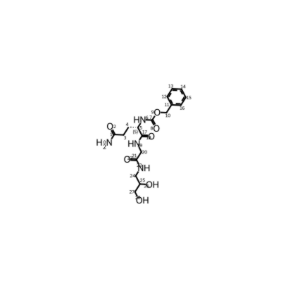 NC(=O)CC[C@H](NC(=O)OCc1ccccc1)C(=O)NCC(=O)NCC(O)CO